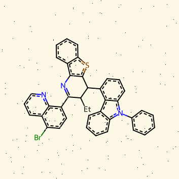 CCC1C(c2ccc(Br)c3cccnc23)=Nc2c(sc3ccccc23)C1c1cccc2c1c1ccccc1n2-c1ccccc1